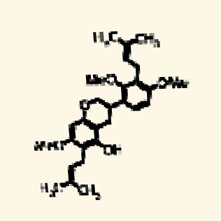 COc1cc2c(c(O)c1CC=C(C)C)CC(c1ccc(OC)c(CC=C(C)C)c1OC)CO2